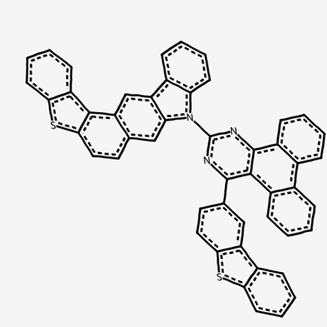 c1ccc2c(c1)sc1ccc(-c3nc(-n4c5ccccc5c5cc6c(ccc7sc8ccccc8c76)cc54)nc4c5ccccc5c5ccccc5c34)cc12